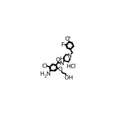 COc1ccc(CN2CCC(NC(=O)c3cc(Cl)c(N)cc3OCCO)CC2)cc1F.Cl